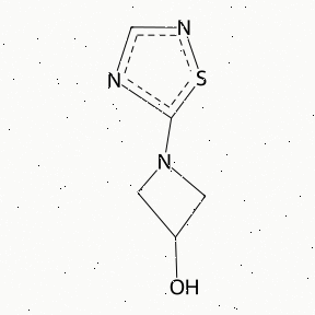 OC1CN(c2ncns2)C1